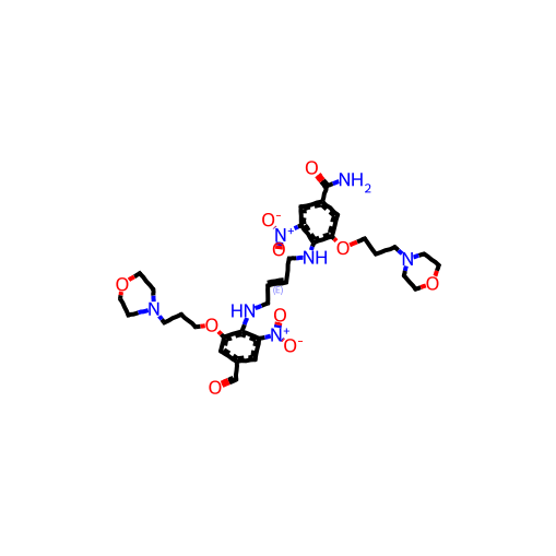 NC(=O)c1cc(OCCCN2CCOCC2)c(NC/C=C/CNc2c(OCCCN3CCOCC3)cc(C=O)cc2[N+](=O)[O-])c([N+](=O)[O-])c1